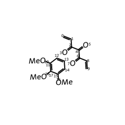 C=CC(=O)C(=O)C(=O)C=C.COc1cccc(OC)c1OC